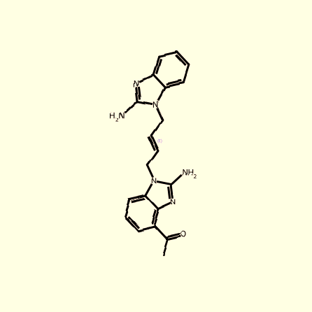 CC(=O)c1cccc2c1nc(N)n2C/C=C/Cn1c(N)nc2ccccc21